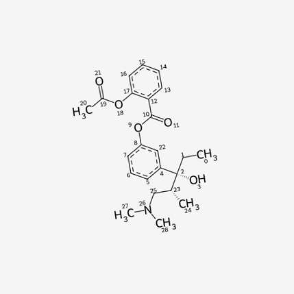 CC[C@](O)(c1cccc(OC(=O)c2ccccc2OC(C)=O)c1)[C@H](C)CN(C)C